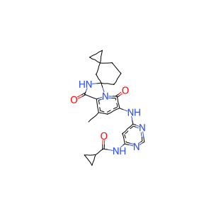 Cc1cc(Nc2cc(NC(=O)C3CC3)ncn2)c(=O)n2c1C(=O)NC21CCCC2(CC2)C1